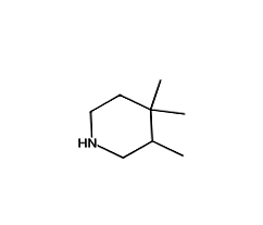 CC1CNCCC1(C)C